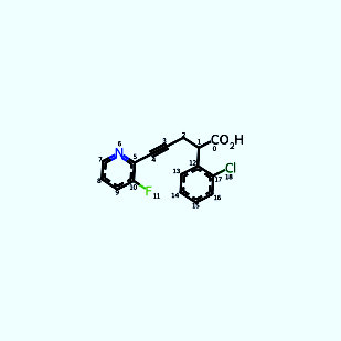 O=C(O)C(CC#Cc1ncccc1F)c1ccccc1Cl